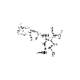 CNc1nc(Nc2ccc(OS(C)(=O)=O)cc2)c(C(=O)OC)nc1Cl